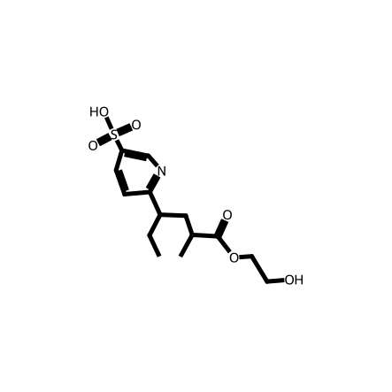 CCC(CC(C)C(=O)OCCO)c1ccc(S(=O)(=O)O)cn1